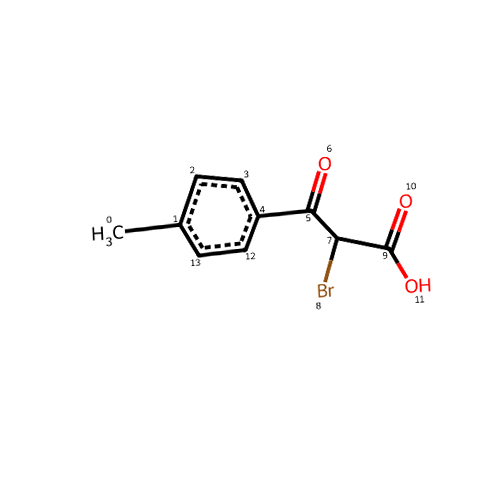 Cc1ccc(C(=O)C(Br)C(=O)O)cc1